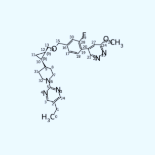 CCc1cnc(N2CCC([C@H]3C[C@H]3COCc3ccc(-c4cnnc(OC)c4)c(F)c3)CC2)nc1